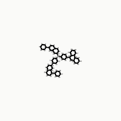 c1ccc(-c2ccc3ccc(N(c4ccc(-c5ccc6cccc(-c7ccccc7)c6c5)cc4)c4ccc(-c5cc6ccccc6c6ccccc56)cc4)cc3c2)cc1